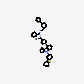 CCC(C)/C(=N\C(=N/Cc1cccc(-c2ccccc2)c1)c1ccccc1)c1ccc(-c2cccc3c2c2ccccc2n3-c2ccc3sc4c(c3c2)CCC=C4)cc1